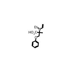 C=CN(CC)C(C)(COc1ccccc1)C(=O)O